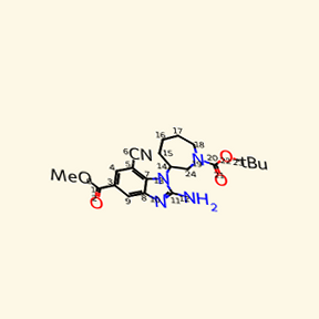 COC(=O)c1cc(C#N)c2c(c1)nc(N)n2C1CCCCN(C(=O)OC(C)(C)C)C1